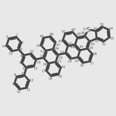 c1ccc(-c2cc(-c3ccccc3)cc(-c3c4ccccc4c(-c4cc5cccc6c7c8ccccc8sc7c7cccc4c7c56)c4ccccc34)c2)cc1